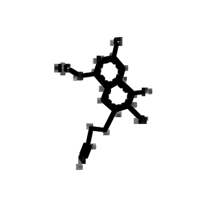 CSc1nc(Cl)cc2c(F)c(Br)c(CCC#N)cc12